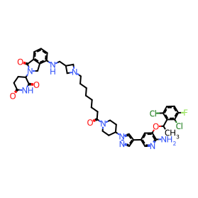 CC(Oc1cc(-c2cnn(C3CCN(C(=O)CCCCCCCN4CC(CNc5cccc6c5CN(C5CCC(=O)NC5=O)C6=O)C4)CC3)c2)cnc1N)c1c(Cl)ccc(F)c1Cl